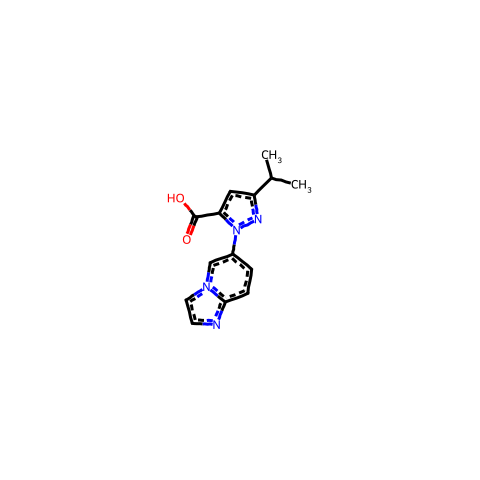 CC(C)c1cc(C(=O)O)n(-c2ccc3nccn3c2)n1